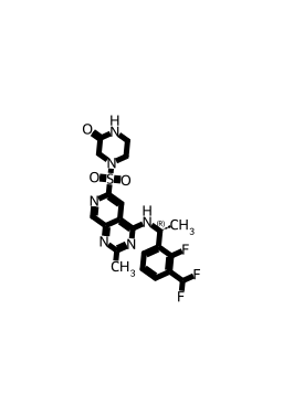 Cc1nc(N[C@H](C)c2cccc(C(F)F)c2F)c2cc(S(=O)(=O)N3CCNC(=O)C3)ncc2n1